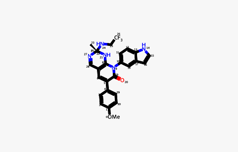 COc1ccc(-c2cc3c(n(-c4ccc5[nH]ccc5c4)c2=O)N[C@@](C)(NCC(F)(F)F)N=C3)cc1